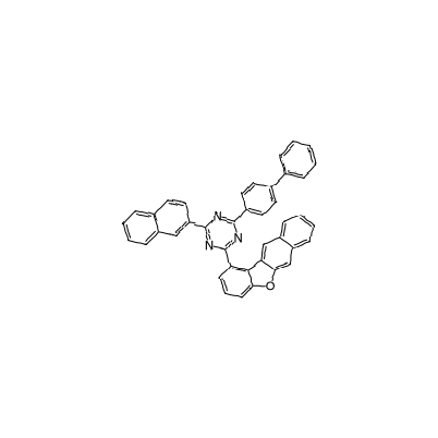 c1ccc(-c2ccc(-c3nc(-c4ccc5ccccc5c4)nc(-c4cccc5oc6cc7ccccc7cc6c45)n3)cc2)cc1